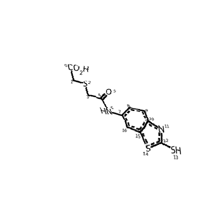 O=C(O)CSCC(=O)Nc1ccc2nc(S)sc2c1